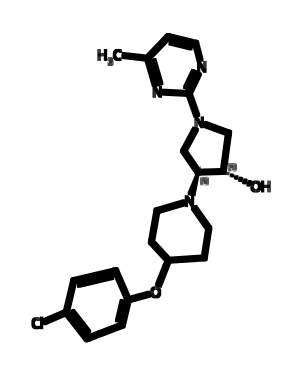 Cc1ccnc(N2C[C@H](O)[C@@H](N3CCC(Oc4ccc(Cl)cc4)CC3)C2)n1